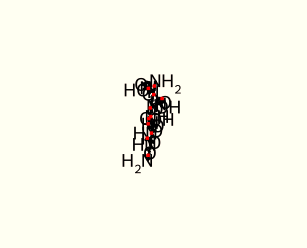 CNC(CNC(=O)c1ccc(C(=O)NCCCN(CCCCN(CCCN)C(=O)c2cccc(=O)n2O)C(=O)c2cccc(=O)n2O)n(O)c1=O)C(=O)NCCOCCN